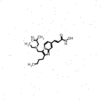 CCCCc1nc2cc(C=CC(=O)NO)ccn2c1CN(CC)CC(C)C